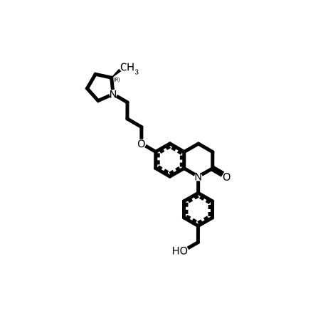 C[C@@H]1CCCN1CCCOc1ccc2c(c1)CCC(=O)N2c1ccc(CO)cc1